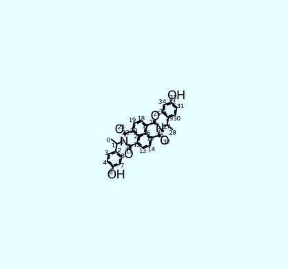 CC(c1ccc(O)cc1)N1C(=O)c2ccc3c4c(ccc(c24)C1=O)C(=O)N(C(C)c1ccc(O)cc1)C3=O